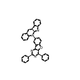 c1ccc(-c2nc(-c3ccccc3)c3oc4ccc(-n5c6nc7ccccc7c-6cc6ccccc65)cc4c3n2)cc1